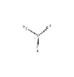 FP(F)F